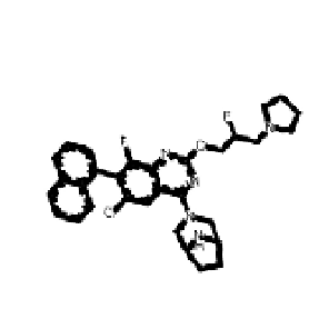 Fc1c(-c2cccc3ccccc23)c(Cl)cc2c(N3CC4CCC(C3)N4)nc(OCC(F)CN3CCCC3)nc12